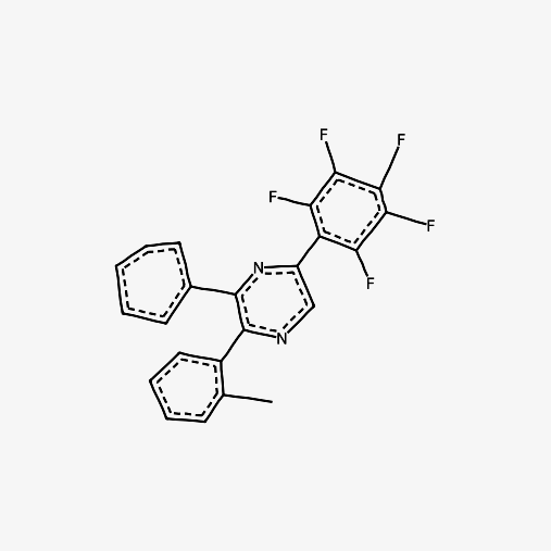 Cc1ccccc1-c1ncc(-c2c(F)c(F)c(F)c(F)c2F)nc1-c1ccccc1